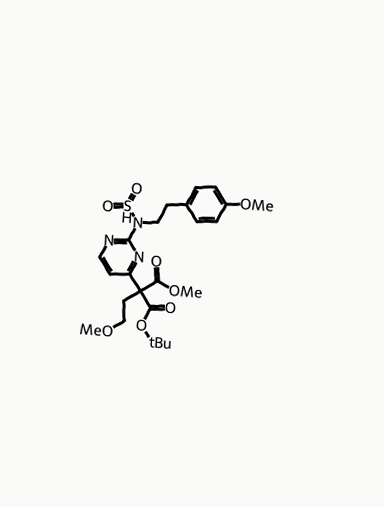 COCCC(C(=O)OC)(C(=O)OC(C)(C)C)c1ccnc(N(CCc2ccc(OC)cc2)[SH](=O)=O)n1